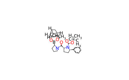 CC(C)(C)OC(=O)N1[C@@H](c2ccccc2)CC[C@H]1C(=O)N1CCC[C@H]1B1O[C@@H]2C[C@@H]3C[C@@H](C3(C)C)[C@]2(C)O1